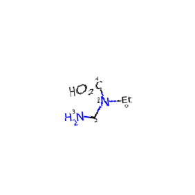 CCN(CN)C(=O)O